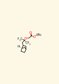 CC(C)(C)OC(=O)COC(CC1CC2CC[C@@H]1C2)(C(F)(F)F)C(F)(F)F